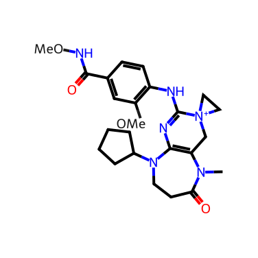 CONC(=O)c1ccc(NC2=NC3=C(C[N+]24CC4)N(C)C(=O)CCN3C2CCCC2)c(OC)c1